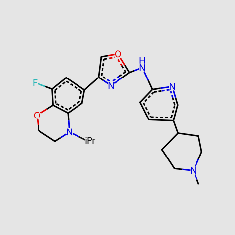 CC(C)N1CCOc2c(F)cc(-c3coc(Nc4ccc(C5CCN(C)CC5)cn4)n3)cc21